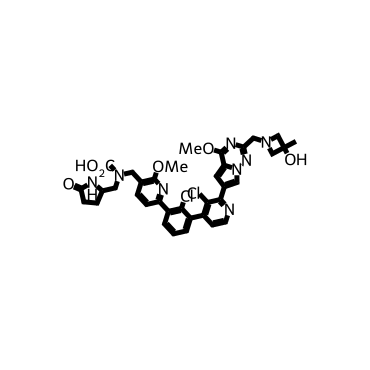 COc1nc(-c2cccc(-c3ccnc(-c4cc5c(OC)nc(CN6CC(C)(O)C6)nn5c4)c3Cl)c2Cl)ccc1CN(CC1CCC(=O)N1)C(=O)O